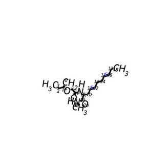 C=C(CC)OCC(=O)N[C@@H](C/C=C/CC/C=C/CC)C(=O)NC